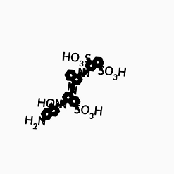 Nc1ccc2c(O)c(N=Nc3ccc(N=Nc4ccc(N=Nc5cc(S(=O)(=O)O)c6cccc(S(=O)(=O)O)c6c5)c5ccccc45)c4ccc(S(=O)(=O)O)cc34)ccc2c1